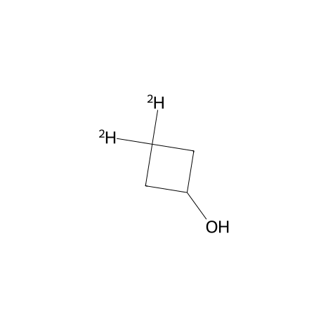 [2H]C1([2H])CC(O)C1